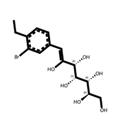 CCc1ccc(C=C(O)[C@H](O)[C@@H](O)[C@H](O)[C@H](O)CO)cc1Br